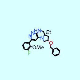 CC[C@@]12CNc3nnc(-c4cccc(F)c4OC)cc3N1C[C@H](OCc1ccccc1)C2